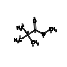 C[N]C(=O)C(C)(C)C